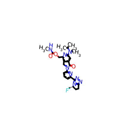 CNC(=O)OCc1nc(N(C)C(C)C)cc2c1CN(c1cccc(-c3nnc4n3[C@@H](CF)CC4)n1)C2=O